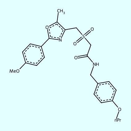 CCCOc1ccc(CNC(=O)CS(=O)(=O)Cc2nc(-c3ccc(OC)cc3)oc2C)cc1